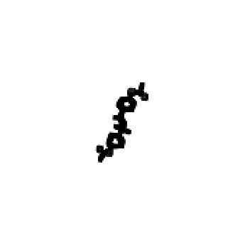 CC(=O)Oc1ccc(C(C)=CC(C)(C)c2ccc(OC(C)=O)cc2)cc1